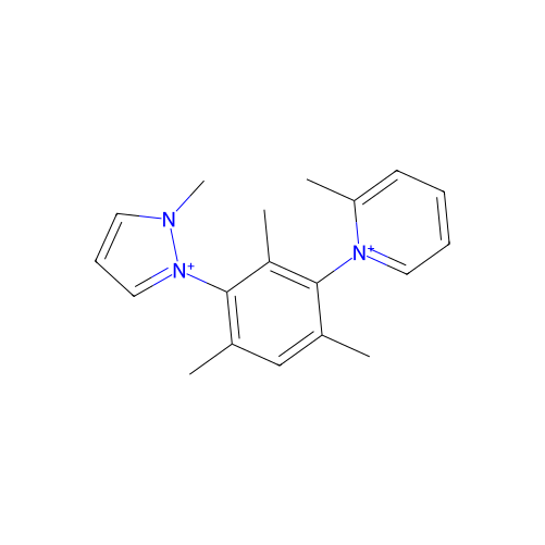 Cc1cc(C)c(-[n+]2cccn2C)c(C)c1-[n+]1ccccc1C